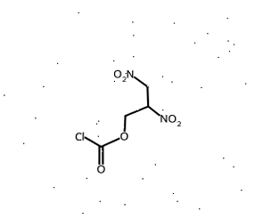 O=C(Cl)OCC(C[N+](=O)[O-])[N+](=O)[O-]